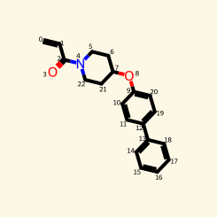 C=CC(=O)N1CCC(Oc2ccc(-c3ccccc3)cc2)CC1